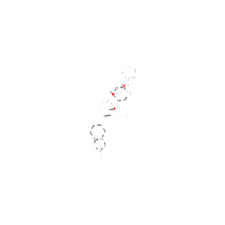 Cc1cc2cc(C3=CCN(C(=O)CN4CC5CCC(C4)N5c4ccc(C(=O)O)cn4)CC3)ccc2s1